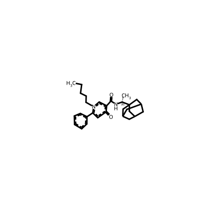 CCCCCn1cc(C(=O)N[C@H](C)C23CC4CC(CC(C4)C2)C3)c(=O)cc1-c1ccccc1